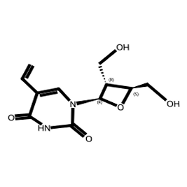 C=Cc1cn([C@@H]2O[C@H](CO)[C@H]2CO)c(=O)[nH]c1=O